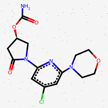 NC(=O)O[C@@H]1CC(=O)N(c2cc(Cl)cc(N3CCOCC3)n2)C1